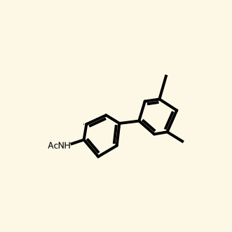 CC(=O)Nc1[c]cc(-c2cc(C)cc(C)c2)cc1